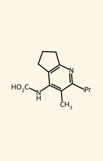 Cc1c(C(C)C)nc2c(c1NC(=O)O)CCC2